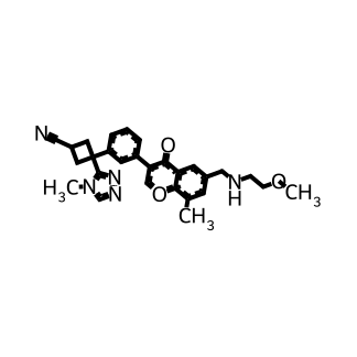 COCCNCc1cc(C)c2occ(-c3cccc(C4(c5nncn5C)CC(C#N)C4)c3)c(=O)c2c1